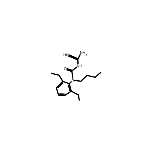 CCCCN(C(=O)NC(=N)N)c1c(CC)cccc1CC